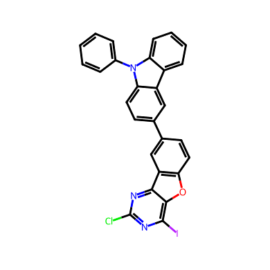 Clc1nc(I)c2oc3ccc(-c4ccc5c(c4)c4ccccc4n5-c4ccccc4)cc3c2n1